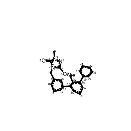 COc1nn(C)c(=O)n1Cc1cccc(-c2cccc(-c3ccccc3)c2C)c1